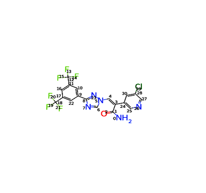 NC(=O)C(=Cn1cnc(-c2cc(C(F)(F)F)cc(C(F)(F)F)c2)n1)c1cncc(Cl)c1